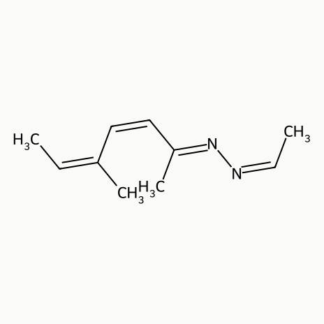 C\C=N/N=C(C)/C=C\C(C)=C/C